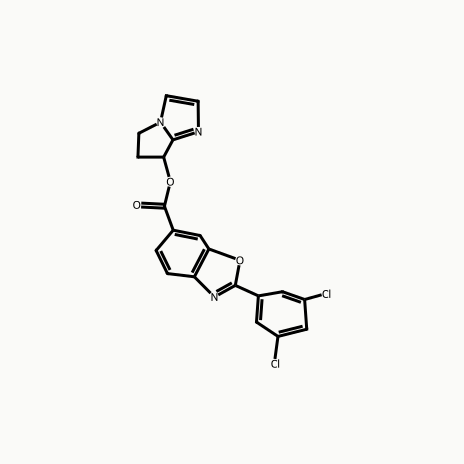 O=C(OC1CCn2ccnc21)c1ccc2nc(-c3cc(Cl)cc(Cl)c3)oc2c1